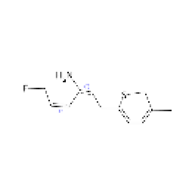 CC1=CC=C(C/C=C(N)\C=C/CF)SC1